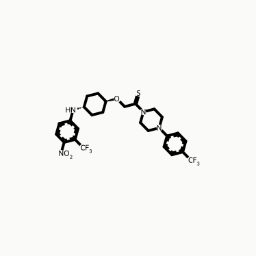 O=[N+]([O-])c1ccc(N[C@H]2CC[C@H](OCC(=S)N3CCN(c4ccc(C(F)(F)F)cc4)CC3)CC2)cc1C(F)(F)F